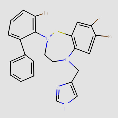 Brc1cc2c(cc1Br)N(Cc1c[nH]cn1)CCN(c1c(Br)cccc1-c1ccccc1)S2